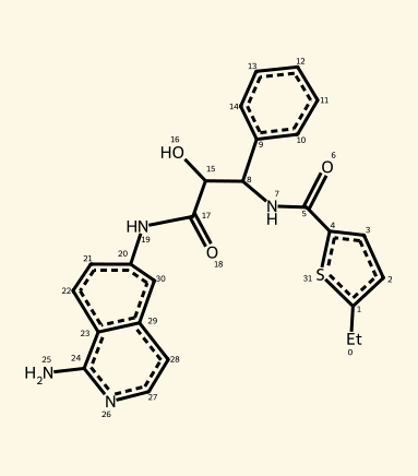 CCc1ccc(C(=O)NC(c2ccccc2)C(O)C(=O)Nc2ccc3c(N)nccc3c2)s1